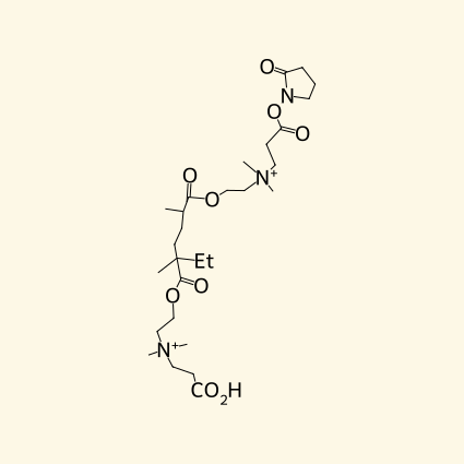 CCC(C)(CCC(C)C(=O)OCC[N+](C)(C)CCC(=O)ON1CCCC1=O)C(=O)OCC[N+](C)(C)CCC(=O)O